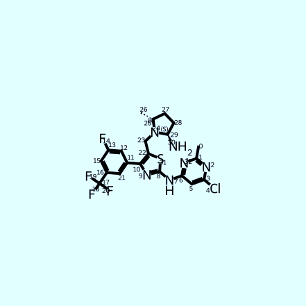 Cc1nc(Cl)cc(Nc2nc(-c3cc(F)cc(C(F)(F)F)c3)c(CN3[C@H](C)CC[C@H]3N)s2)n1